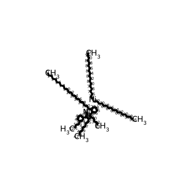 CCCCCCCCCCCCCCCCCC=CCCCc1ccccc1C1=C(CCCC)C(CCCCCCCC)=C(c2cccc(CCCC)c2)[N+]1=[N-].CCCCCCCCCCCCCCCCC[CH2][Ni][CH2]CCCCCCCCCCCCCCCCC